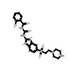 O=C(NC(=O)c1ccccc1Cl)Nc1nc2ccc(S(=O)(=O)CCN3CCNCC3)cc2s1